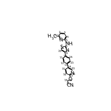 Cc1cccc(Nc2nc(-c3ccc(-c4ccc(OCC#N)nc4)cc3)cs2)n1